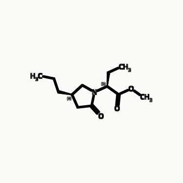 CCC[C@@H]1CC(=O)N([C@@H](CC)C(=O)OC)C1